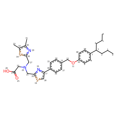 CCCC(CCC)c1ccc(OCc2ccc(-c3csc(CN(CC(=O)O)Cc4nc(C)c(C)s4)n3)cc2)cc1